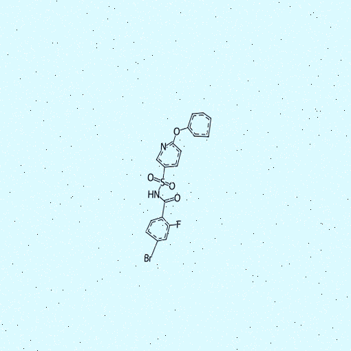 O=C(NS(=O)(=O)c1ccc(Oc2ccccc2)nc1)c1ccc(Br)cc1F